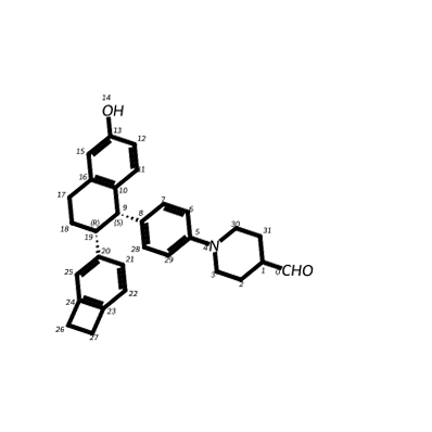 O=CC1CCN(c2ccc([C@H]3c4ccc(O)cc4CC[C@H]3c3ccc4c(c3)CC4)cc2)CC1